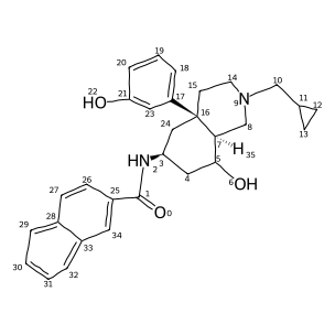 O=C(N[C@@H]1CC(O)[C@@H]2CN(CC3CC3)CC[C@@]2(c2cccc(O)c2)C1)c1ccc2ccccc2c1